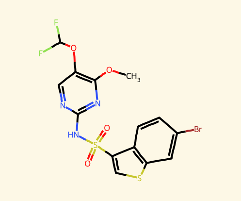 COc1nc(NS(=O)(=O)c2csc3cc(Br)ccc23)ncc1OC(F)F